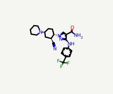 N#C[C@H]1C[C@@H](N2CCCCC2)CC[C@@H]1n1cc(C(N)=O)c(Nc2ccc(C(F)(F)F)cc2)n1